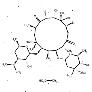 CC(=O)O.CC[C@H]1OC(=O)[C@H](C)[C@@H](O[C@H]2C[C@@](C)(OC)[C@@H](O)[C@H](C)O2)[C@@H](C)[C@@H](O[C@@H]2O[C@H](C)C[C@H](N(C)C)[C@H]2O)[C@](C)(O)C[C@@H](C)C(=O)[C@H](C)[C@H](O)[C@]1(C)O